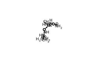 CCCNc1nc(Nc2ccc(C(N)=O)cc2)ncc1C#Cc1cccc(NCCNC(=O)OC(C)(C)C)c1